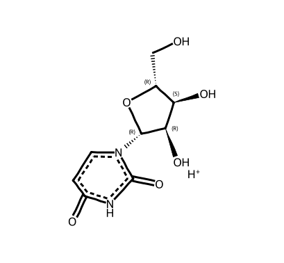 O=c1ccn([C@@H]2O[C@H](CO)[C@@H](O)[C@H]2O)c(=O)[nH]1.[H+]